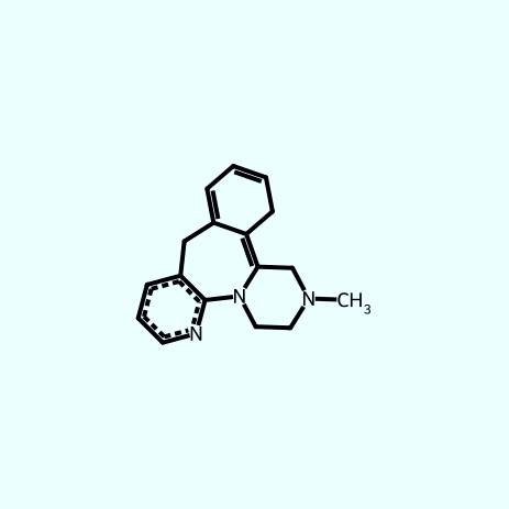 CN1CCN2C(=C3CC=CC=C3Cc3cccnc32)C1